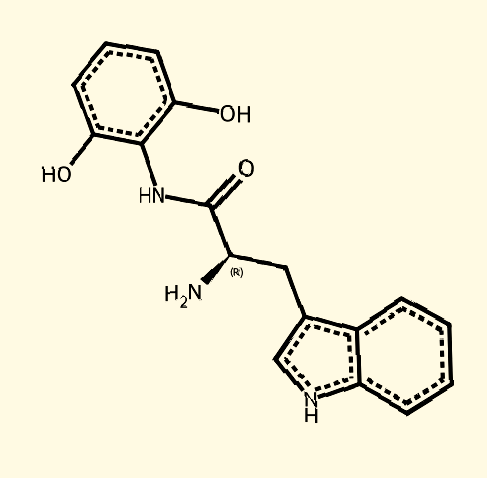 N[C@H](Cc1c[nH]c2ccccc12)C(=O)Nc1c(O)cccc1O